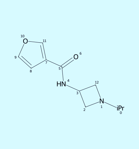 CC(C)N1CC(NC(=O)c2ccoc2)C1